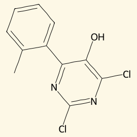 Cc1ccccc1-c1nc(Cl)nc(Cl)c1O